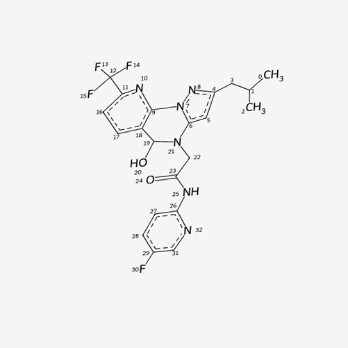 CC(C)Cc1cc2n(n1)-c1nc(C(F)(F)F)ccc1C(O)N2CC(=O)Nc1ccc(F)cn1